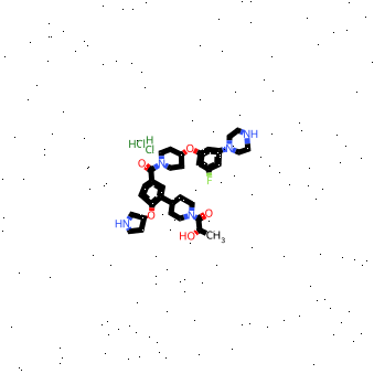 CC(O)C(=O)N1CCC(c2cc(C(=O)N3CCC(Oc4cc(F)cc(N5CCNCC5)c4)CC3)ccc2O[C@H]2CCNC2)CC1.Cl.Cl